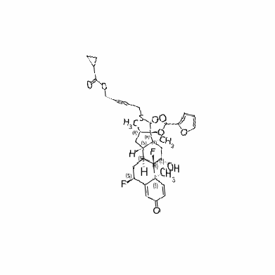 C[C@@H]1C[C@H]2[C@@H]3C[C@H](F)C4=CC(=O)C=C[C@]4(C)[C@@]3(F)[C@@H](O)C[C@]2(C)[C@@]1(OC(=O)c1ccco1)C(=O)SCC#CCOC(=O)C1CC1